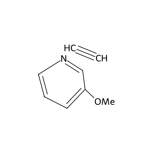 C#C.COc1cccnc1